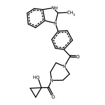 CC1Nc2ccccc2N1c1ccc(C(=O)N2CCN(C(=O)C3(O)CC3)CC2)cc1